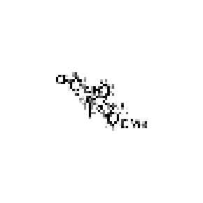 COc1ccc(NC(=S)NC(C(=O)Nc2ccc(Cl)cc2)c2ccccc2)c([N+](=O)[O-])c1